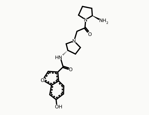 N[C@@H]1CCCN1C(=O)CN1CC[C@H](NC(=O)c2coc3cc(O)ccc23)C1